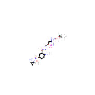 CC1(NS(=O)(=O)c2ccc(N)c(C(=O)NCc3cc(NC(=O)OC(C)(C)C)no3)c2)CC1